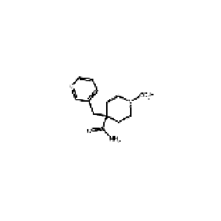 NC(=O)C1(Cc2cccnc2)CCN(C(=O)O)CC1